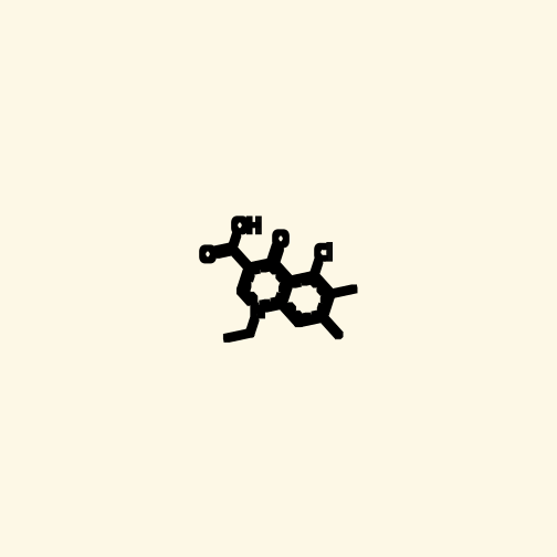 CCn1cc(C(=O)O)c(=O)c2c(Cl)c(C)c(C)cc21